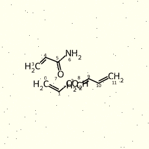 C=CC(=O)O.C=CC(N)=O.C=CC=C